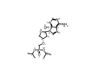 CC(C)OP(=O)(CO[C@@H]1CO[C@@](O)(n2cnc3c(N)ncnc32)C1)OC(C)C